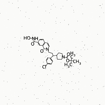 CC(C)(C)OC(=O)N1CCC(C(CCn2ccc3ccc(C(=O)NO)cc3c2=O)c2ccc(Cl)cc2)CC1